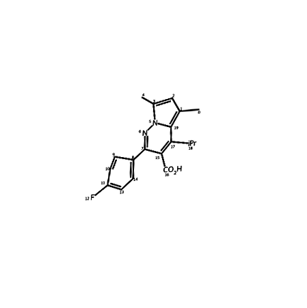 Cc1cc(C)n2nc(-c3ccc(F)cc3)c(C(=O)O)c(C(C)C)c12